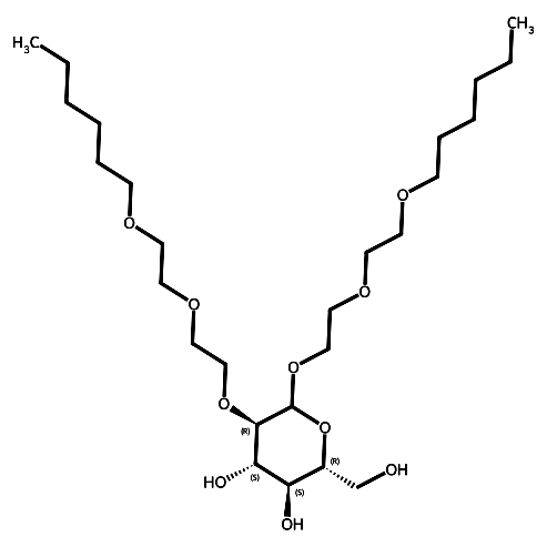 CCCCCCOCCOCCOC1O[C@H](CO)[C@@H](O)[C@H](O)[C@H]1OCCOCCOCCCCCC